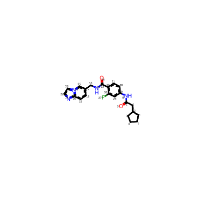 O=C(CC1CCCC1)Nc1ccc(C(=O)NCc2ccc3nccn3c2)c(F)c1